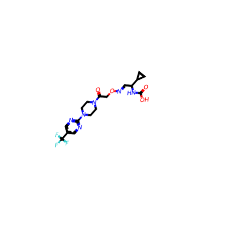 O=C(O)NC(C=NOCC(=O)N1CCN(c2ncc(C(F)(F)F)cn2)CC1)C1CC1